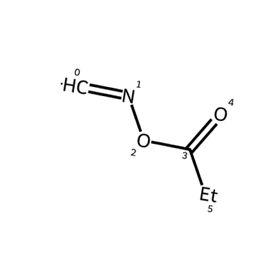 [CH]=NOC(=O)CC